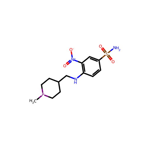 CP1CCC(CNc2ccc(S(N)(=O)=O)cc2[N+](=O)[O-])CC1